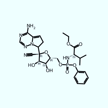 CCOC(=O)[C@@H](NP(=O)(OC[C@H]1O[C@@](C#N)(C2CC=C3C(N)=NC=NN32)[C@H](O)[C@@H]1O)Oc1ccccc1)C(C)C